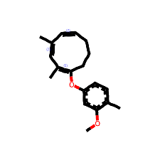 COc1cc(O/C2=C(C)/C=C(C)\C=C/CCC2)ccc1C